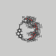 OC[C@H]1O[C@@H]2O[C@H]3C(O)C(O)[C@@H]4O[C@@H]3CSCc3ccc5c(c3)CCc3cc(ccc3-5)CSC[C@H]3O[C@H](O[C@H]5C(O)C(O)[C@H](O[C@@H]5CO)O[C@H]5C(O)C(O)[C@H](O[C@@H]5CO)O[C@H]1C(O)C2O)C(O)C(O)[C@@H]3O[C@@H]1O[C@H](CO)[C@@H](O[C@H]2O[C@H](CO)[C@@H](O4)C(O)C2O)C(O)C1O